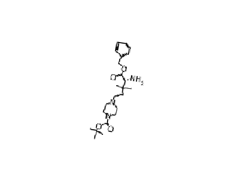 CC(C)(C)OC(=O)N1CCN(CCC(C)(C)[C@@H](N)C(=O)OCc2ccccc2)CC1